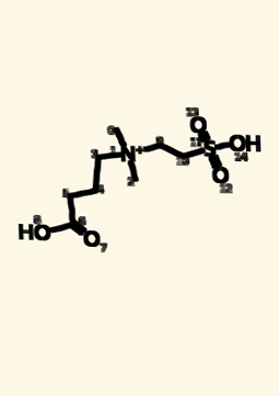 C[N+](C)(CCCC(=O)O)CCS(=O)(=O)O